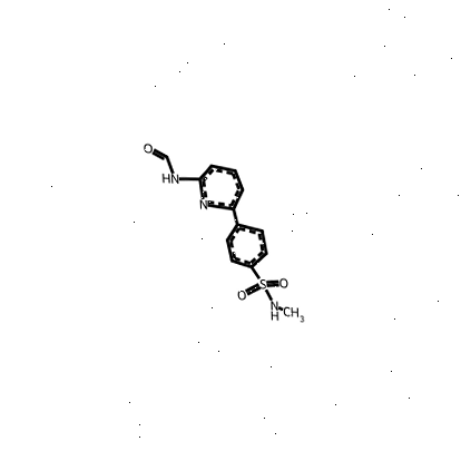 CNS(=O)(=O)c1ccc(-c2cccc(NC=O)n2)cc1